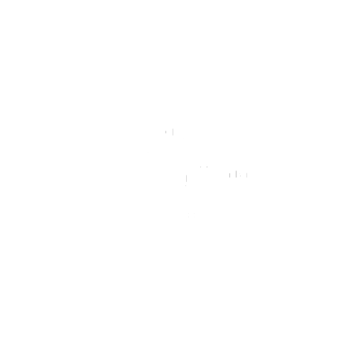 CCCCO[PH](=O)c1ccccc1C